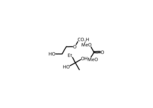 CCC(C)(O)O.COC(=O)OC.O=C(O)OCCO